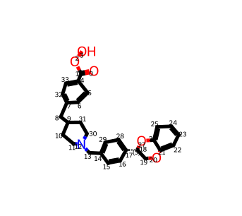 O=C(OO)c1ccc(CC2CCN(Cc3ccc([C@H]4COc5ccccc5O4)cc3)CC2)cc1